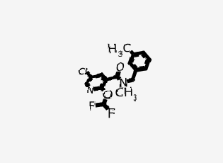 Cc1cccc(CN(C)C(=O)c2cc(Cl)cnc2OC(F)F)c1